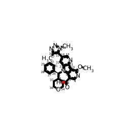 COc1ncc(C(=O)O)c2c1c1ncc(-c3c(C)nnn3C)cc1n2[C@H](c1ccccc1)C1CCOCC1